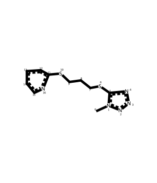 Cn1nnnc1SCCCSc1ccccn1